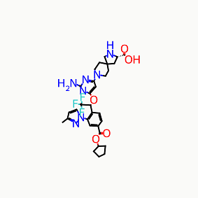 Cc1ccn(-c2cc(C(=O)OC3CCCC3)ccc2[C@@H](Oc2cc(N3CCC4(CC3)CN[C@H](C(=O)O)C4)nc(N)n2)C(F)(F)F)n1